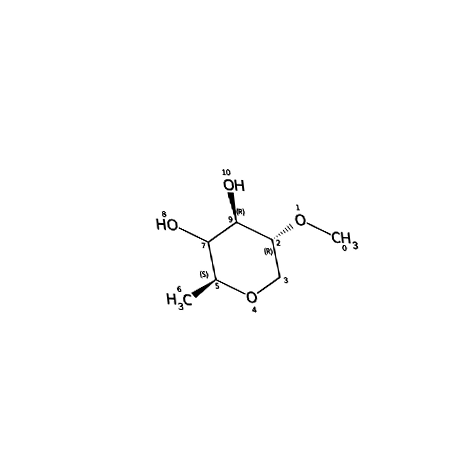 CO[C@@H]1CO[C@@H](C)C(O)[C@H]1O